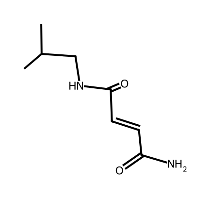 CC(C)CNC(=O)C=CC(N)=O